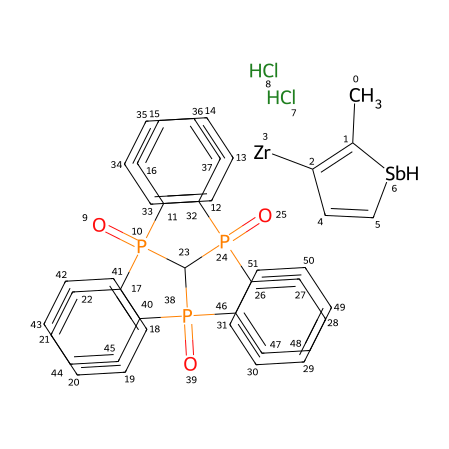 C[C]1=[C]([Zr])C=[CH][SbH]1.Cl.Cl.O=P(c1ccccc1)(c1ccccc1)C(P(=O)(c1ccccc1)c1ccccc1)P(=O)(c1ccccc1)c1ccccc1